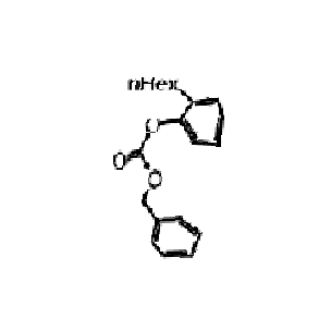 CCCCCCc1ccccc1OC(=O)OCc1ccccc1